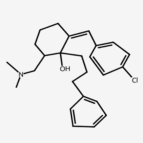 CN(C)CC1CCC/C(=C/c2ccc(Cl)cc2)C1(O)CCCc1ccccc1